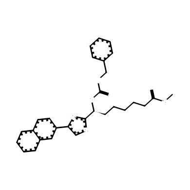 CNC(=O)CCCCC[C@H](NC(=O)OCc1ccccc1)c1ncc(-c2ccc3ccccc3c2)[nH]1